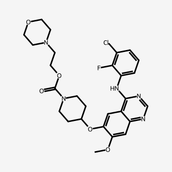 COc1cc2ncnc(Nc3cccc(Cl)c3F)c2cc1OC1CCN(C(=O)OCCN2CCOCC2)CC1